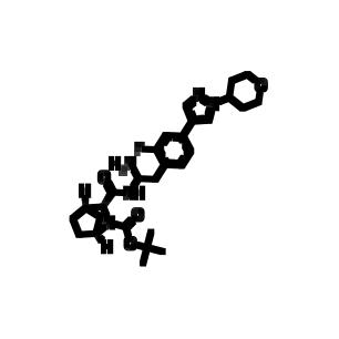 CC(C)(C)OC(=O)N1[C@@H]2CC[C@@H](C2)[C@H]1C(=O)NC(N)Cc1ccc(-c2cnn(C3CCOCC3)c2)cc1F